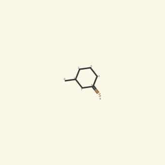 CC1CC[CH]C(=S)C1